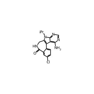 CC(C)n1c2c(c3c(N)ncnc31)-c1ccc(Cl)cc1C(=O)NC2